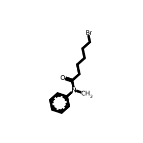 CN(C(=O)CCCCCBr)c1ccccc1